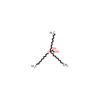 CCCCCCCCCCCOC(CCCCCCCCCCC)(CCCCCCCCCCC)C(O)CO